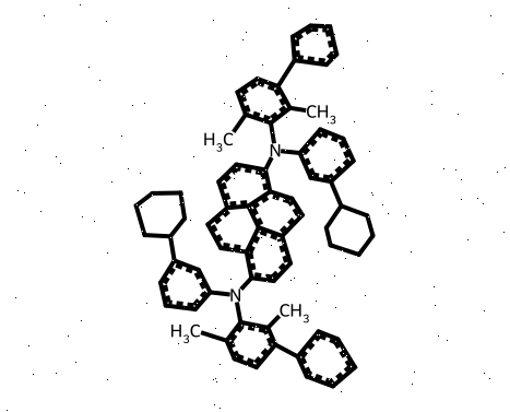 Cc1ccc(-c2ccccc2)c(C)c1N(c1cccc(C2CCCCC2)c1)c1ccc2ccc3c(N(c4cccc(C5CCCCC5)c4)c4c(C)ccc(-c5ccccc5)c4C)ccc4ccc1c2c43